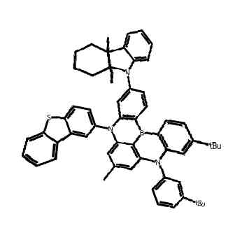 Cc1cc2c3c(c1)N(c1cccc(C(C)(C)C)c1)c1cc(C(C)(C)C)ccc1B3c1ccc(N3c4ccccc4C4(C)CCCCC34C)cc1N2c1ccc2sc3ccccc3c2c1